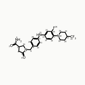 NC(=O)C1CC(=O)N(Cc2ccc(Nc3ccc(N4CCC(C(F)(F)F)CC4)c(F)c3)cc2)C1